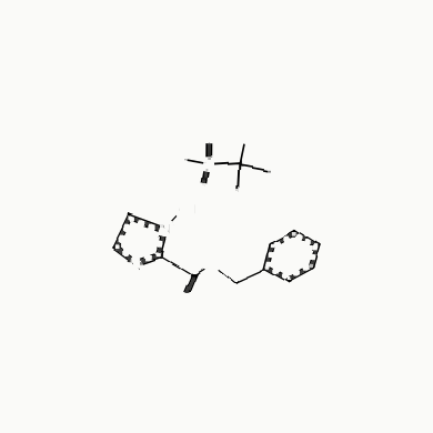 C[n+]1cc[nH]c1C(=O)OCc1ccccc1.O=S(=O)([O-])C(F)(F)F